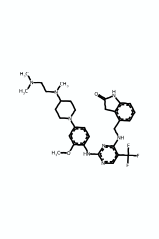 COc1cc(N2CCC(N(C)CCN(C)C)CC2)ccc1Nc1ncc(C(F)(F)F)c(NCc2cccc3c2CC(=O)N3)n1